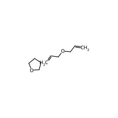 C1CCOC1.C=CCOCC=C